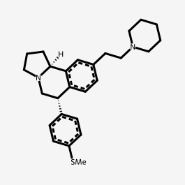 CSc1ccc([C@@H]2CN3CCC[C@H]3c3cc(CCN4CCCCC4)ccc32)cc1